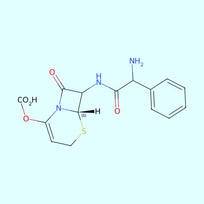 NC(C(=O)NC1C(=O)N2C(OC(=O)O)=CCS[C@@H]12)c1ccccc1